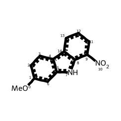 COc1ccc2c(c1)[nH]c1c([N+](=O)[O-])cccc12